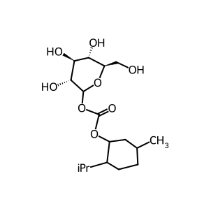 CC1CCC(C(C)C)C(OC(=O)OC2O[C@H](CO)[C@@H](O)[C@H](O)[C@H]2O)C1